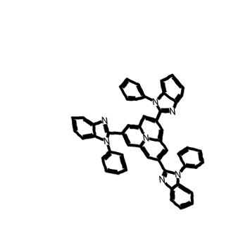 C1=C(c2nc3ccccc3n2-c2ccccc2)C=C2C=C(c3nc4ccccc4n3-c3ccccc3)C=C3C=C(c4nc5ccccc5n4-c4ccccc4)C=C1N23